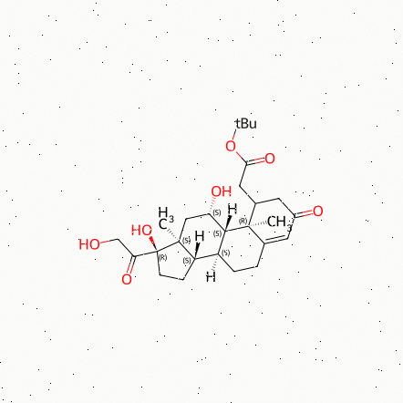 CC(C)(C)OC(=O)CC1CC(=O)C=C2CC[C@@H]3[C@H]([C@@H](O)C[C@@]4(C)[C@H]3CC[C@]4(O)C(=O)CO)[C@]21C